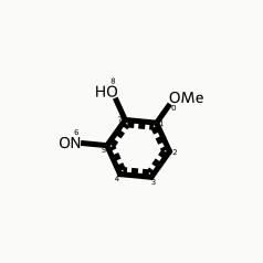 COc1cccc(N=O)c1O